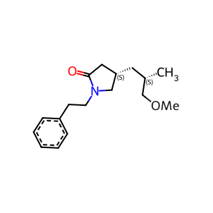 COC[C@@H](C)C[C@H]1CC(=O)N(CCc2ccccc2)C1